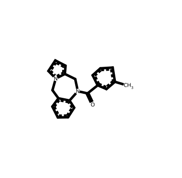 Cc1[c]c(C(=O)N2Cc3cccn3Cc3ccccc32)ccc1